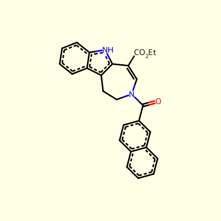 CCOC(=O)C1=CN(C(=O)c2ccc3ccccc3c2)CCc2c1[nH]c1ccccc21